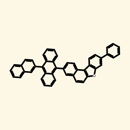 c1ccc(-c2ccc3c(c2)oc2ccc4cc(-c5c6ccccc6c(-c6ccc7ccccc7c6)c6ccccc56)ccc4c23)cc1